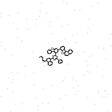 C/C=C\C=C/c1ccc(-c2nc(-c3ccccc3)nc(-c3cc(-c4cccc5c4oc4ccc6ccccc6c45)cc4oc5ccccc5c34)n2)c2ccccc12